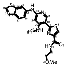 COCCNC(=O)c1csc(-c2cnc(Nc3ccc4ncsc4c3)cc2NC(C)C)n1